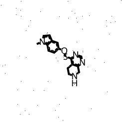 Cn1ccc2cc(OSc3ncnc4c3CCNC4)ccc21